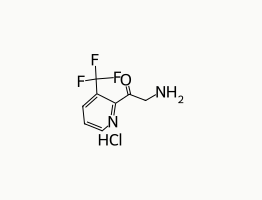 Cl.NCC(=O)c1ncccc1C(F)(F)F